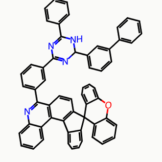 c1ccc(C2=NC(c3cccc(-c4nc5ccccc5c5c6c(ccc45)C4(c5ccccc5Oc5ccccc54)c4ccccc4-6)c3)=NC(c3cccc(-c4ccccc4)c3)N2)cc1